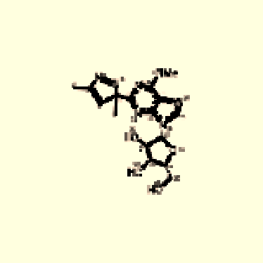 CNc1nc(C2(C)C=C(C)N=N2)nc2c1ncn2[C@@H]1O[C@H](CO)[C@@H](O)[C@H]1O